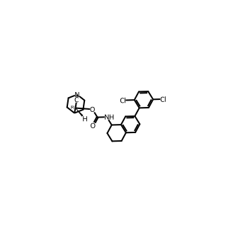 O=C(NC1CCCc2ccc(-c3cc(Cl)ccc3Cl)cc21)O[C@H]1CN2CCC1CC2